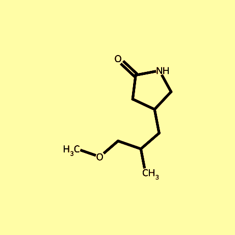 COCC(C)CC1CNC(=O)C1